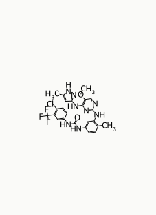 COc1cnc(Nc2cc(NC(=O)Nc3ccc(Cl)c(C(F)(F)F)c3)ccc2C)nc1Nc1cc(C)[nH]n1